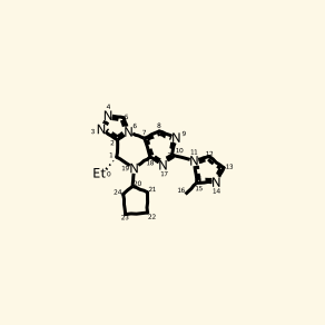 CC[C@@H]1c2nncn2-c2cnc(-n3ccnc3C)nc2N1C1CCCC1